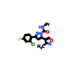 Cc1nocc1-c1cc(-c2ccc(F)cc2Cl)nn1C(=O)NC(C)C